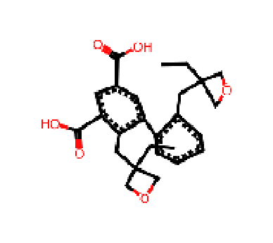 CCC1(Cc2ccccc2-c2cc(C(=O)O)cc(C(=O)O)c2CC2(CC)COC2)COC1